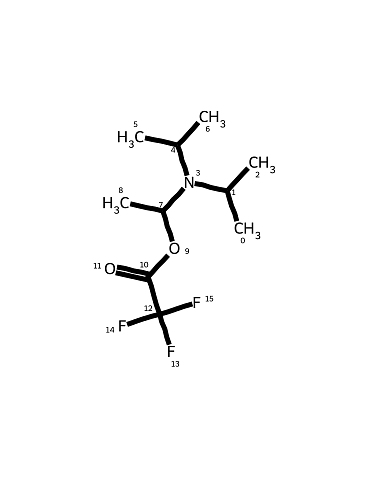 CC(C)N(C(C)C)C(C)OC(=O)C(F)(F)F